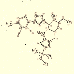 CCOC(C)(C)c1cc(C[C@H]2O[C@H](CO)[C@H](O)[C@H](n3cc(-c4ccc(C)c(F)c4F)nn3)[C@H]2OC)on1